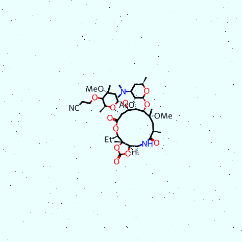 CC[C@H]1OC(=O)[C@H](C)[C@@H](O[C@H]2C[C@@](C)(OC)C(OCCC#N)[C@H](C)O2)[C@H](C)[C@@H](O[C@@H]2O[C@H](C)C[C@H](N(C)C)[C@H]2OC(C)=O)[C@](C)(OC)C[C@@H](C)C(=O)N[C@H](C)[C@H]2OC(=O)O[C@@]21C